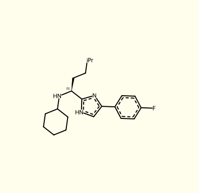 CC(C)CC[C@H](NC1CCCCC1)c1nc(-c2ccc(F)cc2)c[nH]1